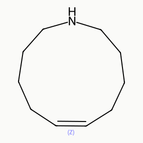 C1=C\CCCCNCCCC/1